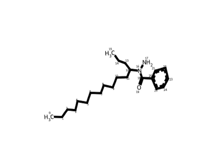 CCCCCCCCCCCCC(CCC)N(N)C(=O)c1ccccc1